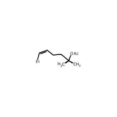 CC/C=C\CCC(C)(C)OC(C)=O